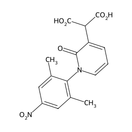 Cc1cc([N+](=O)[O-])cc(C)c1-n1cccc(C(C(=O)O)C(=O)O)c1=O